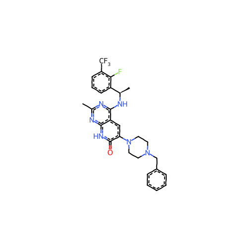 Cc1nc(N[C@H](C)c2cccc(C(F)(F)F)c2F)c2cc(N3CCN(Cc4ccccc4)CC3)c(=O)[nH]c2n1